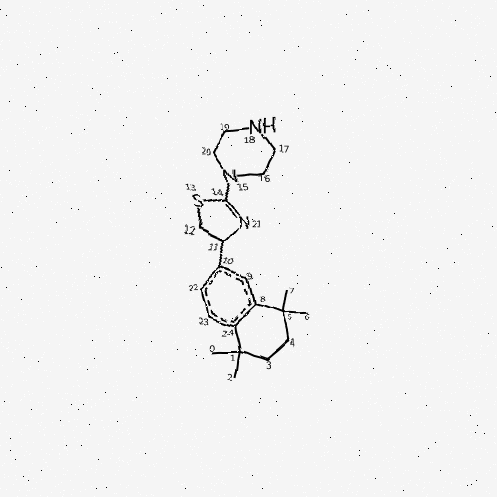 CC1(C)CCC(C)(C)c2cc(C3CSC(N4CCNCC4)=N3)ccc21